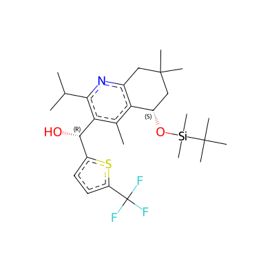 Cc1c([C@@H](O)c2ccc(C(F)(F)F)s2)c(C(C)C)nc2c1[C@@H](O[Si](C)(C)C(C)(C)C)CC(C)(C)C2